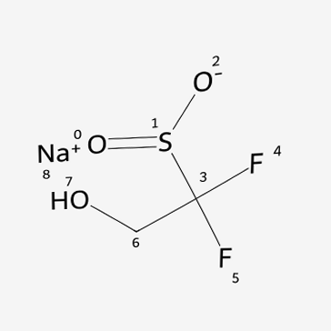 O=S([O-])C(F)(F)CO.[Na+]